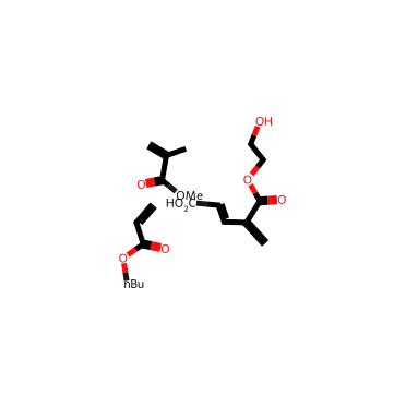 C=C(C)C(=O)OC.C=C(C=CC(=O)O)C(=O)OCCO.C=CC(=O)OCCCC